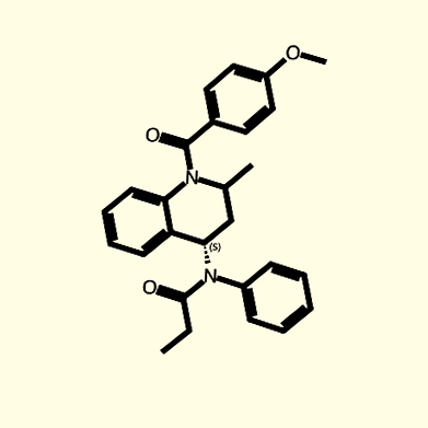 CCC(=O)N(c1ccccc1)[C@H]1CC(C)N(C(=O)c2ccc(OC)cc2)c2ccccc21